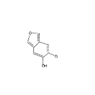 Oc1cc2cocc2cc1Cl